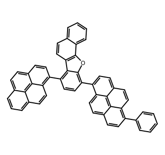 c1ccc(-c2ccc3ccc4c(-c5ccc(-c6ccc7ccc8cccc9ccc6c7c89)c6c5oc5c7ccccc7ccc56)ccc5ccc2c3c54)cc1